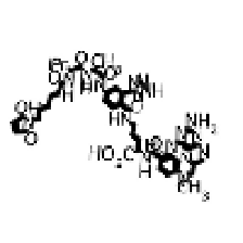 CC(C)[C@H](NC(=O)CCCCCN1C(=O)C=CC1O)C(=O)N[C@@H](C)C(=O)Nc1ccc(C(=O)NCCC[C@H](NC(=O)c2ccc(N(C)Cc3cnc4nc(N)nc(N)c4n3)cc2)C(=O)O)c(-c2nn[nH]n2)c1